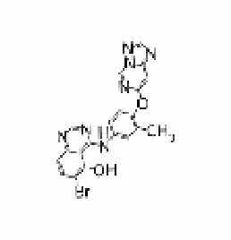 Cc1cc(Nc2ncnc3ccc(Br)c(O)c23)ccc1Oc1cc2ncnn2cn1